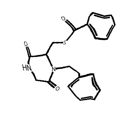 O=C(SCC1C(=O)NCC(=O)N1Cc1ccccc1)c1ccccc1